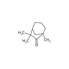 CC12CCCC(C1)C(C)(C)C2=O